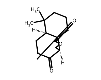 CC1(C)CCC[C@]23C(=O)OC[C@@H]2C(=O)CC[C@@H]13